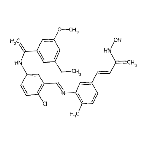 C=C(/C=C/c1ccc(C)c(/N=C/c2cc(NC(=C)c3cc(CC)cc(OC)c3)ccc2Cl)c1)NO